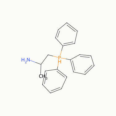 CC(N)C[PH](c1ccccc1)(c1ccccc1)c1ccccc1